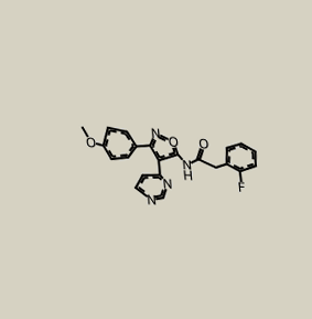 COc1ccc(-c2noc(NC(=O)Cc3ccccc3F)c2-c2ccncn2)cc1